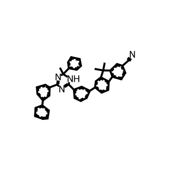 CC1(c2ccccc2)N=C(c2cccc(-c3ccccc3)c2)N=C(c2cccc(-c3ccc4c(c3)C(C)(C)c3cc(C#N)ccc3-4)c2)N1